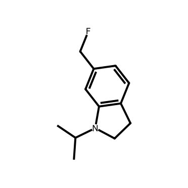 CC(C)N1CCc2ccc(CF)cc21